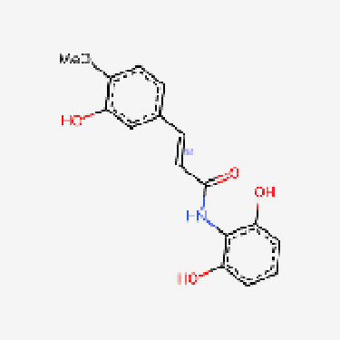 COc1ccc(/C=C/C(=O)Nc2c(O)cccc2O)cc1O